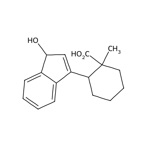 CC1(C(=O)O)CCCCC1C1=CC(O)c2ccccc21